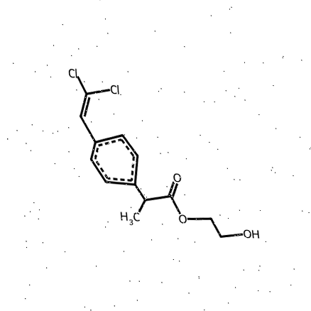 CC(C(=O)OCCO)c1ccc(C=C(Cl)Cl)cc1